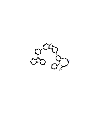 C=C1/C=C\C=C/Cc2cc(-c3ccc4oc5ccc(-c6cccc(-n7c8ccccc8c8ccccc87)c6)cc5c4c3)ncc2N1c1ccccc1